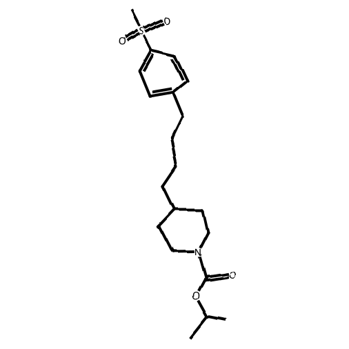 CC(C)OC(=O)N1CCC(CCCCc2ccc(S(C)(=O)=O)cc2)CC1